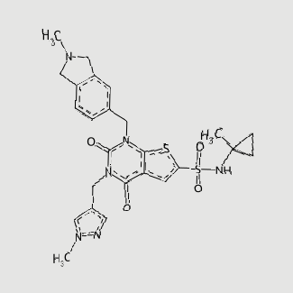 CN1Cc2ccc(Cn3c(=O)n(Cc4cnn(C)c4)c(=O)c4cc(S(=O)(=O)NC5(C)CC5)sc43)cc2C1